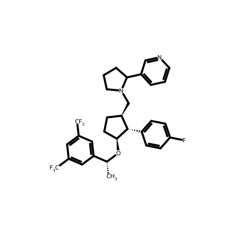 C[C@@H](O[C@H]1CC[C@@H](CN2CCCC2c2cccnc2)[C@@H]1c1ccc(F)cc1)c1cc(C(F)(F)F)cc(C(F)(F)F)c1